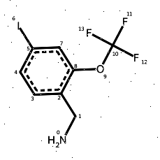 NCc1ccc(I)cc1OC(F)(F)F